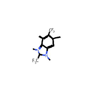 CC1=C(C(F)(F)F)C(C)C=C2C1=[N+](C)C(C(F)(F)F)N2C